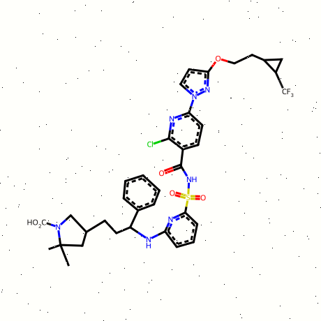 CC1(C)CC(CCC(Nc2cccc(S(=O)(=O)NC(=O)c3ccc(-n4ccc(OCCC5CC5C(F)(F)F)n4)nc3Cl)n2)c2ccccc2)CN1C(=O)O